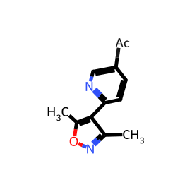 CC(=O)c1ccc(-c2c(C)noc2C)nc1